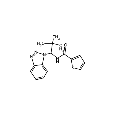 CC(C)(C)C(NC(=O)c1cccs1)n1nnc2ccccc21